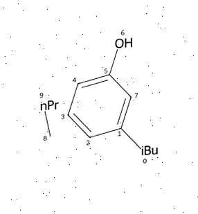 CCC(C)c1cccc(O)c1.CCCC